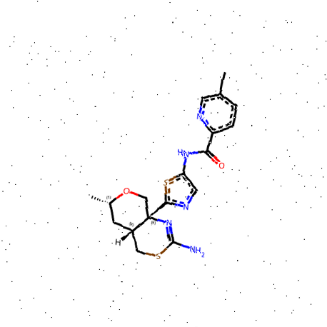 Cc1ccc(C(=O)Nc2cnc([C@]34CO[C@@H](C)C[C@H]3CSC(N)=N4)s2)nc1